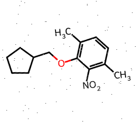 Cc1ccc(C)c([N+](=O)[O-])c1OCC1CCCC1